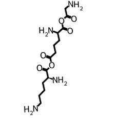 NCCCC[C@H](N)C(=O)OC(=O)CCCC(N)C(=O)OC(=O)CN